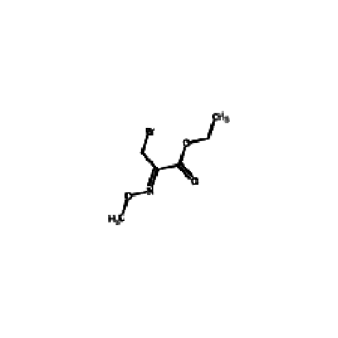 CCOC(=O)/C(CBr)=N/OC